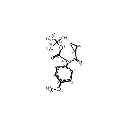 COc1ccc(N(C(=O)OC(C)(C)C)C(=O)C2CC2)cc1